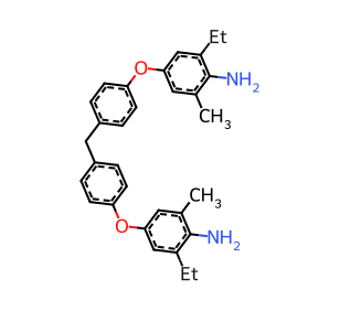 CCc1cc(Oc2ccc(Cc3ccc(Oc4cc(C)c(N)c(CC)c4)cc3)cc2)cc(C)c1N